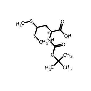 CSC(C[C@H](NC(=O)OC(C)(C)C)C(=O)O)SC